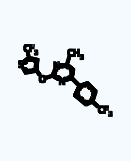 Cc1cc(-c2ccc(C(F)(F)F)cc2)nc(Oc2csc(C(F)(F)F)c2)n1